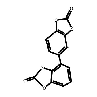 O=c1oc2ccc(-c3cccc4oc(=O)sc34)[c]c2s1